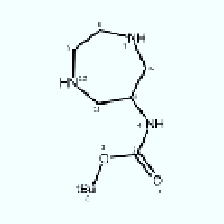 CC(C)(C)OC(=O)NC1CNCCNC1